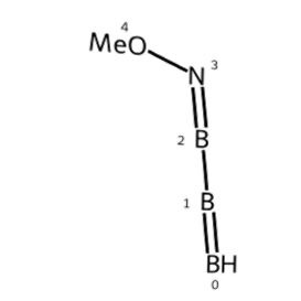 B=BB=NOC